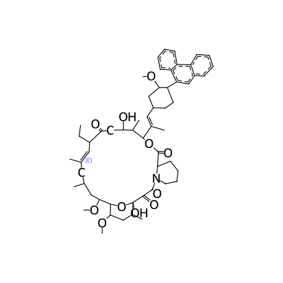 CCC1/C=C(\C)CC(C)CC(OC)C2OC(O)(C(=O)C(=O)N3CCCCC3C(=O)OC(C(C)=CC3CCC(c4cc5ccccc5c5ccccc45)C(OC)C3)C(C)C(O)CC1=O)C(C)CC2OC